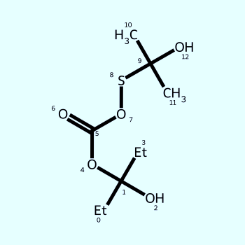 CCC(O)(CC)OC(=O)OSC(C)(C)O